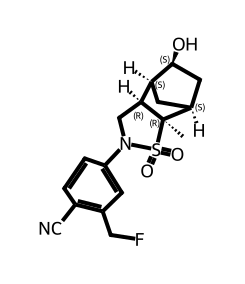 C[C@@]12[C@H]3C[C@H]([C@@H](O)C3)[C@@H]1CN(c1ccc(C#N)c(CF)c1)S2(=O)=O